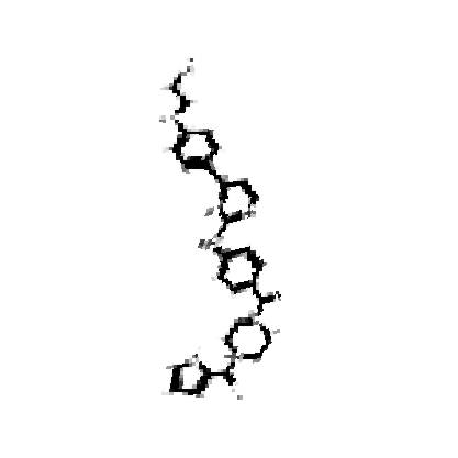 O=C(c1ccc(Nc2nccc(-c3ccc(SCCO)cc3)n2)cc1)N1CCN(C(=O)c2ccco2)CC1